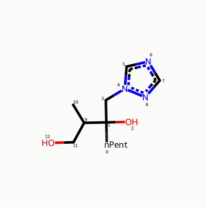 CCCCCC(O)(Cn1cncn1)C(C)CO